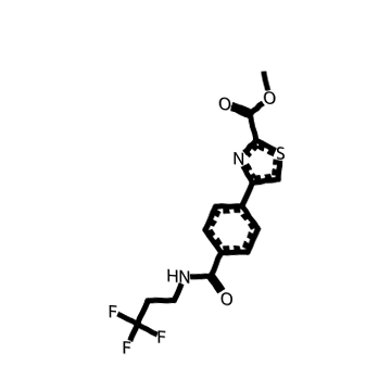 COC(=O)c1nc(-c2ccc(C(=O)NCCC(F)(F)F)cc2)cs1